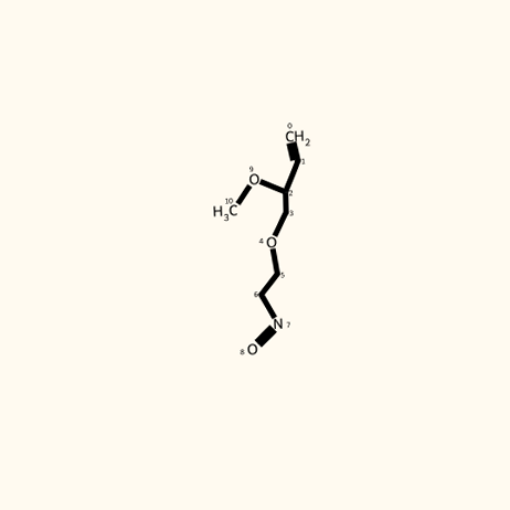 C=CC(COCCN=O)OC